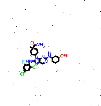 CC1(C(N)=O)CCC(n2c(Nc3c(F)cc(Cl)cc3Cl)nc3cnc(NC4CCC[C@@H](O)C4)nc32)CC1